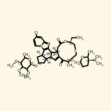 CC[C@H]1CCC[C@H](O[C@H]2CC[C@H](N(C)C)C(C)O2)[C@@H](C)C(=O)C2=C[C@H]3[C@@H]4C[C@H](O[C@@H]5OC(C)[C@H](OC)C(OC)C5OC)C[C@H]4c4c(nc5cc(Cl)ccn45)[C@H]3[C@@H]2CC(=O)O1